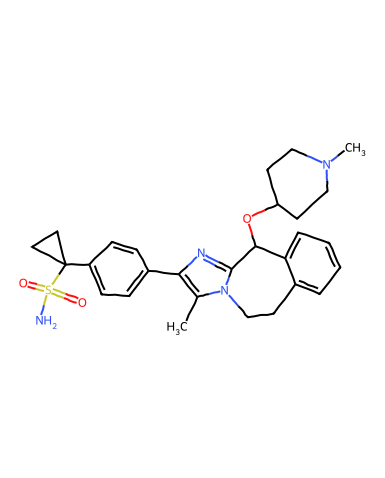 Cc1c(-c2ccc(C3(S(N)(=O)=O)CC3)cc2)nc2n1CCc1ccccc1C2OC1CCN(C)CC1